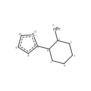 CCCC1CCCCC1c1cccs1